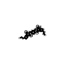 C=CCC1=CC2CC1C1C(=O)N(Cc3cccc(CN4C(=O)C5C6CC(C=C6CC=C)[C@H]5C4=O)c3)C(=O)C21